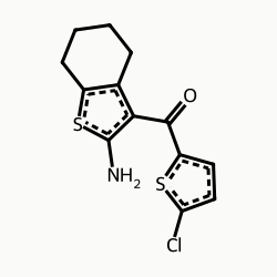 Nc1sc2c(c1C(=O)c1ccc(Cl)s1)CCCC2